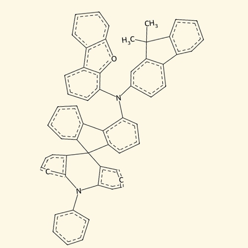 CC1(C)c2ccccc2-c2ccc(N(c3cccc4c3-c3ccccc3C43c4ccccc4N(c4ccccc4)c4ccccc43)c3cccc4c3oc3ccccc34)cc21